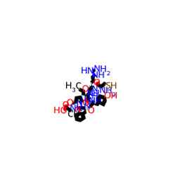 CCCC[C@H](NC(=O)[C@H](CCCNC(=N)N)NC(=O)[C@@H](N)CS)C(=O)N[C@@H](Cc1ccc(O)cc1)C(=O)N[C@@H](Cc1ccccc1)C(=O)N1CCC[C@H]1C(=O)N[C@@H](C)C(=O)O